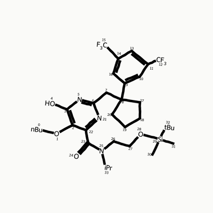 CCCCOc1c(O)nc(CC2(c3cc(C(F)(F)F)cc(C(F)(F)F)c3)CCCC2)nc1C(=O)N(CCO[Si](C)(C)C(C)(C)C)C(C)C